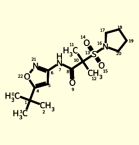 CC(C)(C)c1cc(NC(=O)C(C)(C)S(=O)(=O)N2CCCC2)no1